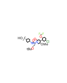 COc1cn(C(CCOC(C)(C)C)C(=O)Nc2ccc(C(=O)O)cc2)c(=O)cc1-c1cc(Cl)ccc1OC(F)F